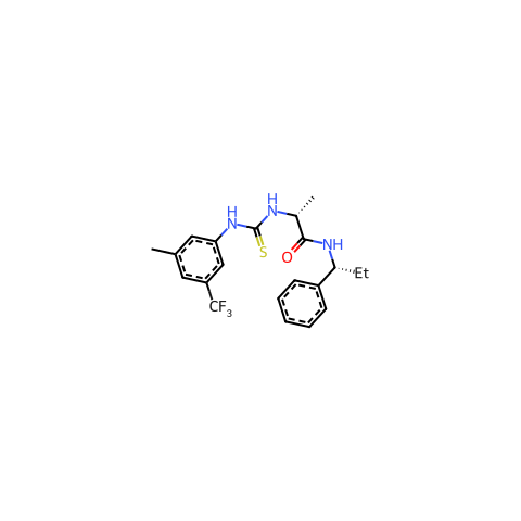 CC[C@@H](NC(=O)[C@@H](C)NC(=S)Nc1cc(C)cc(C(F)(F)F)c1)c1ccccc1